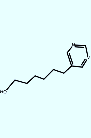 OCCCCCCc1cncnc1